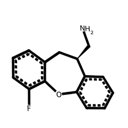 NC[C@@H]1Cc2cccc(F)c2Oc2ccccc21